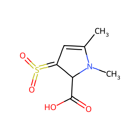 CC1=CC(=S(=O)=O)C(C(=O)O)N1C